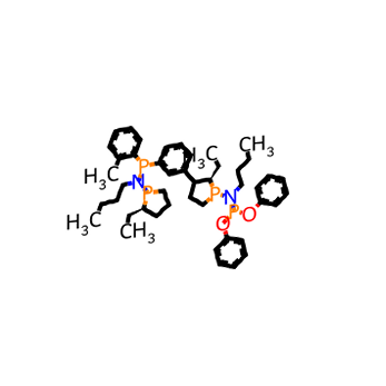 CCCCN(P(Oc1ccccc1)Oc1ccccc1)P1CCC(c2cccc(P(c3ccccc3C)N(CCCC)P3CCC[C@H]3CC)c2)[C@H]1CC